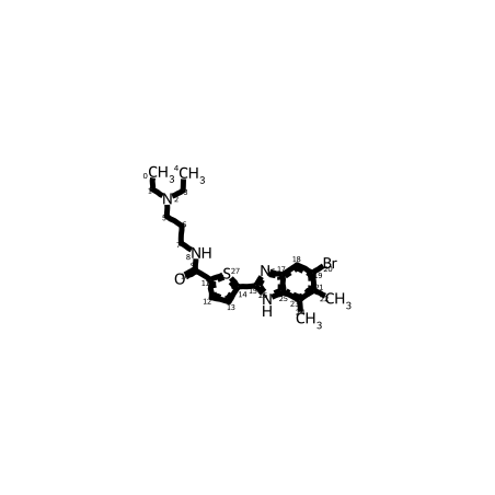 CCN(CC)CCCNC(=O)c1ccc(-c2nc3cc(Br)c(C)c(C)c3[nH]2)s1